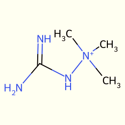 C[N+](C)(C)NC(=N)N